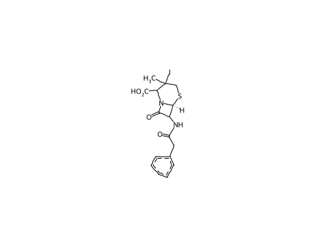 CC1(I)CS[C@H]2C(NC(=O)Cc3ccccc3)C(=O)N2C1C(=O)O